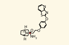 NC(=O)N1[C@@H]2CC[C@H]1CN(CCOc1ccc(Oc3nc4ncccc4s3)cc1)C2